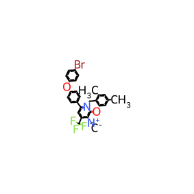 [C-]#[N+]c1c(C(F)(F)F)cc(-c2ccc(Oc3ccc(Br)cc3)cc2)n(Cc2ccc(C)cc2C)c1=O